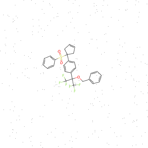 O=S(=O)(c1ccccc1)C1(c2ccc(C(OCc3ccccc3)(C(F)(F)F)C(F)(F)F)cc2)CC=CC1